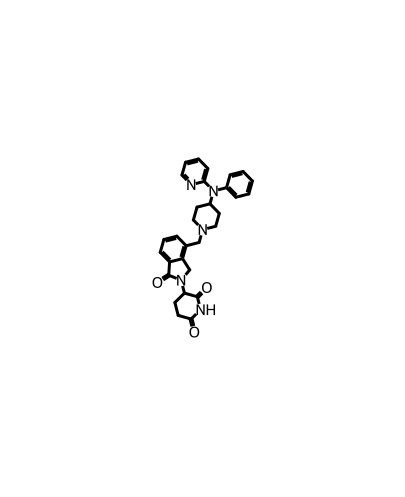 O=C1CCC(N2Cc3c(CN4CCC(N(c5ccccc5)c5ccccn5)CC4)cccc3C2=O)C(=O)N1